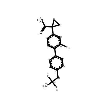 NC(=O)C1(c2ccc(-c3ccc(CC(N)(F)F)cc3)c(F)c2)CC1